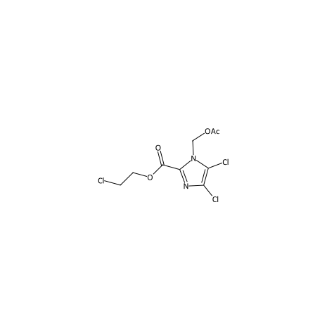 CC(=O)OCn1c(C(=O)OCCCl)nc(Cl)c1Cl